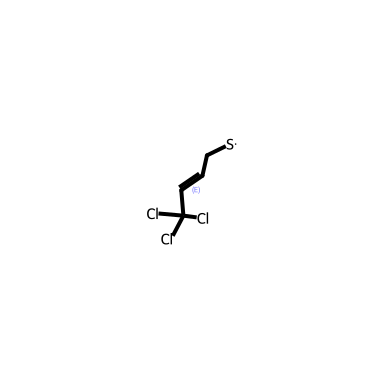 [S]C/C=C/C(Cl)(Cl)Cl